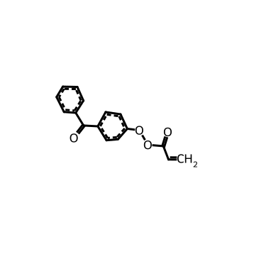 C=CC(=O)OOc1ccc(C(=O)c2ccccc2)cc1